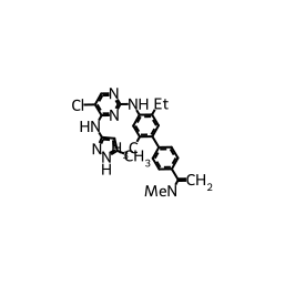 C=C(NC)c1ccc(-c2cc(CC)c(Nc3ncc(Cl)c(Nc4cc(C)[nH]n4)n3)cc2C)cc1